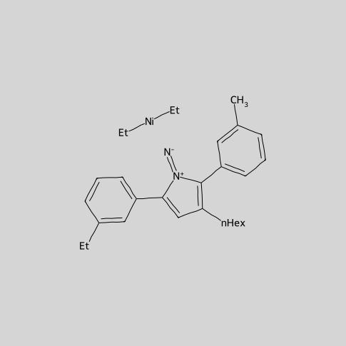 CCCCCCC1=C(c2cccc(C)c2)[N+](=[N-])C(c2cccc(CC)c2)=C1.C[CH2][Ni][CH2]C